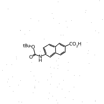 CC(C)(C)OC(=O)Nc1ccc2cc(C(=O)O)ccc2c1